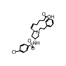 O=C(O)CCC/C=C\[C@@H]1C[C@@H](NS(=O)(=O)c2ccc(Cl)cc2)CN1CCc1ccccc1